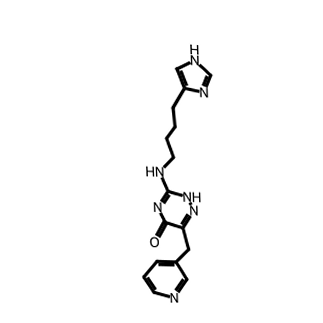 O=c1nc(NCCCCc2c[nH]cn2)[nH]nc1Cc1cccnc1